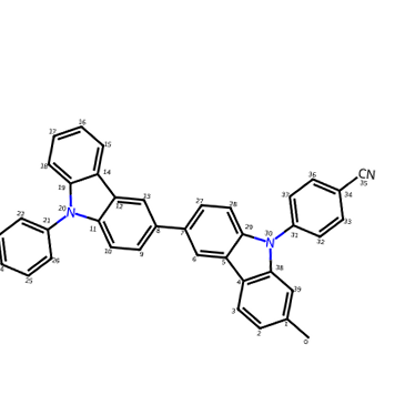 Cc1ccc2c3cc(-c4ccc5c(c4)c4ccccc4n5-c4ccccc4)ccc3n(-c3ccc(C#N)cc3)c2c1